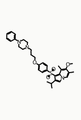 COc1c(C)cn2cc(C(C)C)c(S(=O)(=O)c3ccc(OCCCN4CCN(c5ccccc5)CC4)cc3)c2c1C